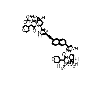 COC(=O)N[C@H](C(=O)N1[C@@H]2C[C@@H]2C[C@H]1c1nc(C#Cc2ccc3cc(-c4c[nH]c([C@@H]5C[C@H]6C[C@H]6N5C(=O)[C@H](C5CCOCC5)N(C)C(=O)O)n4)ccc3c2)c[nH]1)C1CCOCC1